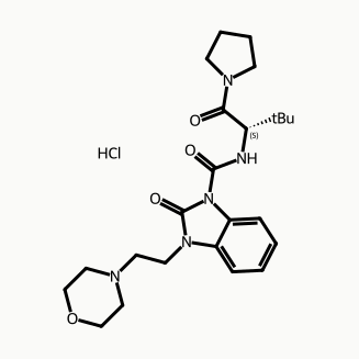 CC(C)(C)[C@H](NC(=O)n1c(=O)n(CCN2CCOCC2)c2ccccc21)C(=O)N1CCCC1.Cl